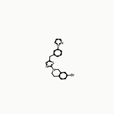 Brc1ccc2c(c1)CN(c1ncc(Cc3cccc(-n4cccn4)c3)s1)CC2